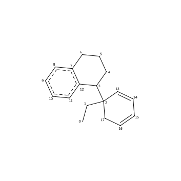 CCC1(C2CCCc3ccccc32)C=CC=CC1